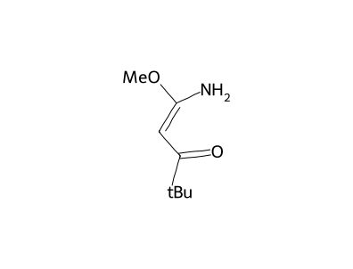 COC(N)=CC(=O)C(C)(C)C